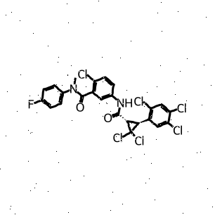 CN(C(=O)c1cc(NC(=O)[C@@H]2[C@@H](c3cc(Cl)c(Cl)cc3Cl)C2(Cl)Cl)ccc1Cl)c1ccc(F)cc1